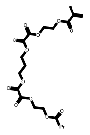 C=C(C)C(=O)OCCOC(=O)C(=O)OCCCOC(=O)C(=O)OCCOC(=O)C(C)C